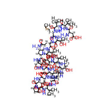 CSCC[C@H](NC(=O)[C@@H](NC(=O)[C@@H](NC(=O)[C@@H](N)CC(=O)O)C(C)C)C(C)C)C(=O)N[C@H](C(=O)N[C@@H](CCC(N)=O)C(=O)N[C@H](C(=O)N1CCC[C@H]1C(=O)N[C@@H](CO)C(=O)N[C@@H](CO)C(=O)N[C@H](C(=O)N[C@@H](CO)C(=O)N[C@@H](CCC(=O)O)C(=O)N1CCC[C@H]1C(=O)N[C@H](C(=O)NCC(=O)NCC(=O)N[C@H](C(=O)N[C@H](C(=O)N[C@H](C(=O)O)[C@@H](C)O)C(C)C)[C@@H](C)O)C(C)C)C(C)C)[C@@H](C)O)[C@@H](C)O